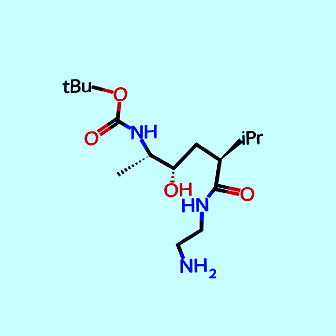 CC(C)[C@H](C[C@H](O)[C@H](C)NC(=O)OC(C)(C)C)C(=O)NCCN